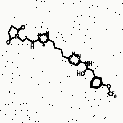 O=C1CCC(=O)N1CCNc1nnc(CCCCc2ccc(NC(O)Cc3cccc(OC(F)(F)F)c3)nn2)s1